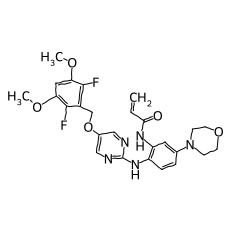 C=CC(=O)Nc1cc(N2CCOCC2)ccc1Nc1ncc(OCc2c(F)c(OC)cc(OC)c2F)cn1